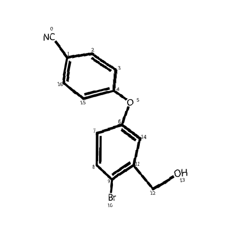 N#Cc1ccc(Oc2ccc(Br)c(CO)c2)cc1